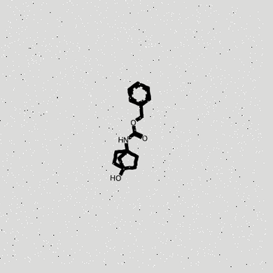 O=C(NC12CCC(O)(CC1)C2)OCc1ccccc1